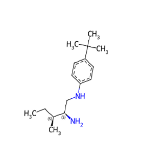 CC[C@H](C)[C@H](N)CNc1ccc(C(C)(C)C)cc1